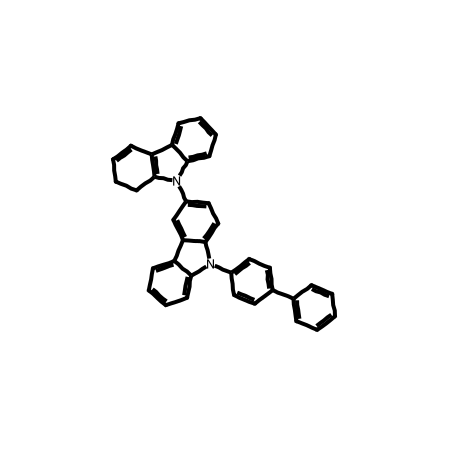 C1=Cc2c(n(-c3ccc4c(c3)c3ccccc3n4-c3ccc(-c4ccccc4)cc3)c3ccccc23)CC1